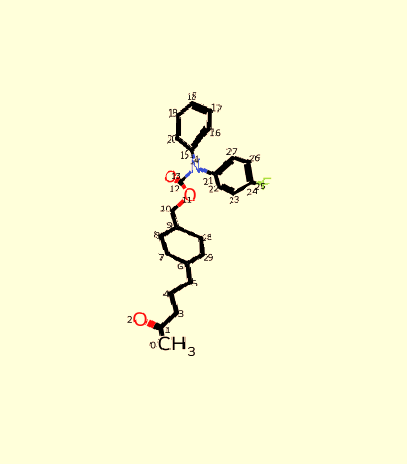 CC(=O)CCCC1CCC(COC(=O)N(c2ccccc2)c2ccc(F)cc2)CC1